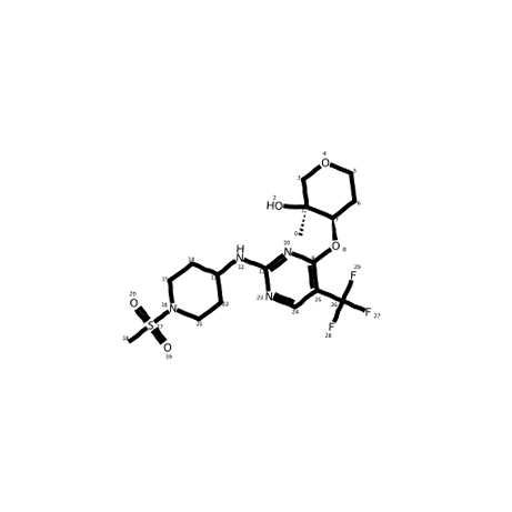 C[C@]1(O)COCC[C@H]1Oc1nc(NC2CCN(S(C)(=O)=O)CC2)ncc1C(F)(F)F